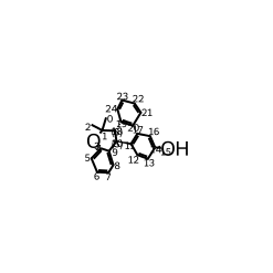 CC1(C)Oc2ccccc2[C@H](c2ccc(O)cc2)[C@H]1c1ccccc1